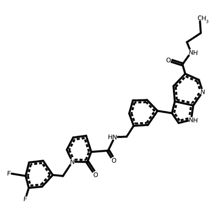 CCCNC(=O)c1cnc2[nH]cc(-c3cccc(CNC(=O)c4cccn(Cc5ccc(F)c(F)c5)c4=O)c3)c2c1